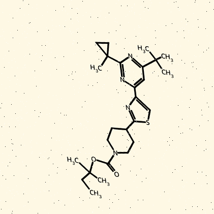 CCC(C)(C)OC(=O)N1CCC(c2nc(-c3cc(C(C)(C)C)nc(C4(C)CC4)n3)cs2)CC1